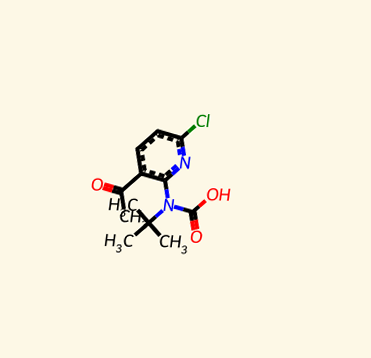 CC(=O)c1ccc(Cl)nc1N(C(=O)O)C(C)(C)C